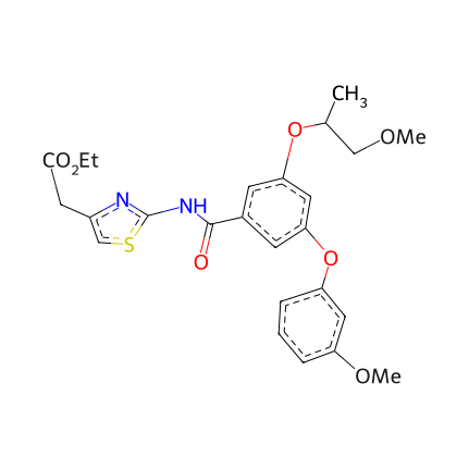 CCOC(=O)Cc1csc(NC(=O)c2cc(Oc3cccc(OC)c3)cc(OC(C)COC)c2)n1